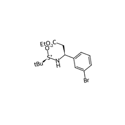 CCOC(=O)C[C@H](N[S@+]([O-])C(C)(C)C)c1cccc(Br)c1